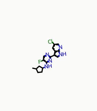 CC1CCC(Nc2nc(-c3c[nH]c4ncc(Cl)cc34)ncc2F)C1